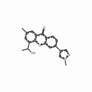 Cc1cc(C(C)O)c2oc3cc(-c4cnn(C)c4)ccc3c(=O)c2c1